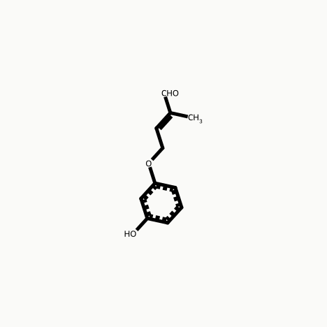 C/C(C=O)=C\COc1cccc(O)c1